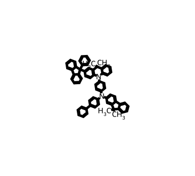 CC1(C)c2ccccc2-c2ccc(N(c3ccc(-c4ccccc4)cc3)c3ccc(N4c5ccccc5C(C)(C)c5cc(C6(c7ccccc7)c7ccccc7-c7ccccc76)ccc54)cc3)cc21